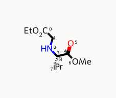 CCOC(=O)CN[C@H](C(=O)OC)C(C)C